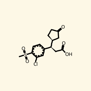 CS(=O)(=O)c1ccc([C@H](CC(=O)O)[C@H]2CCC(=O)C2)cc1Cl